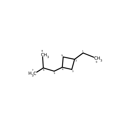 CCC1CC(CC(C)C)C1